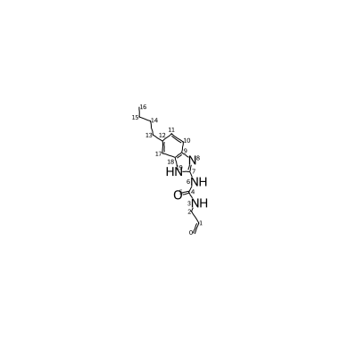 C=CCNC(=O)Nc1nc2ccc(CCCC)cc2[nH]1